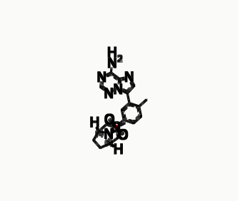 Cc1ccc(S(=O)(=O)N2[C@@H]3CC[C@H]2CN(C)C3)cc1-c1cnc2c(N)ncnn12